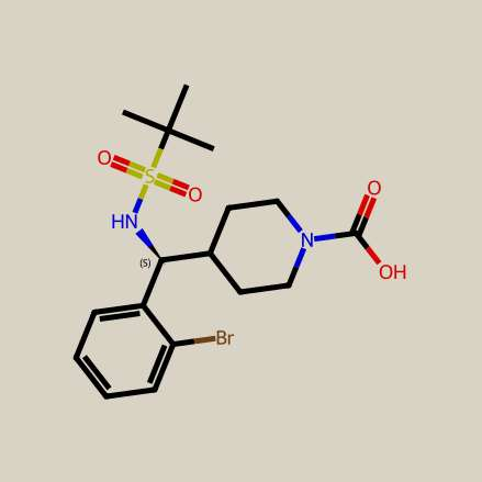 CC(C)(C)S(=O)(=O)N[C@H](c1ccccc1Br)C1CCN(C(=O)O)CC1